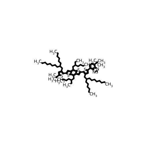 CCCCCCCCC(CCCCCC)Cc1cc(-c2ccc(C(C)(C)C)c3nsnc23)sc1-c1cc2c(CC(CC)CCCC)c3sc(-c4sc(C(C)(C)C)cc4CC(CCCCCC)CCCCCCCC)cc3c(CC(CC)CCCC)c2s1